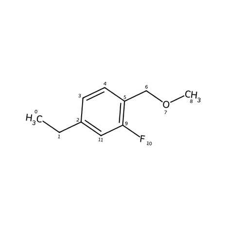 CCc1ccc(COC)c(F)c1